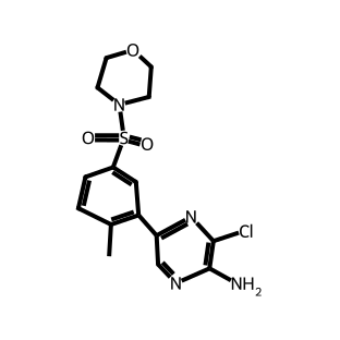 Cc1ccc(S(=O)(=O)N2CCOCC2)cc1-c1cnc(N)c(Cl)n1